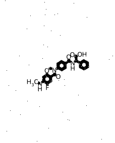 CNc1cc2c(cc1F)C(=O)N(c1ccc(C(=O)NC(C(=O)O)c3ccccc3)cc1)CO2